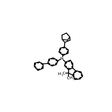 CC1(C)c2ccccc2-c2ccc(N(c3ccc(-c4ccccc4)cc3)c3ccc(C4CC5CCC4C5)cc3)cc21